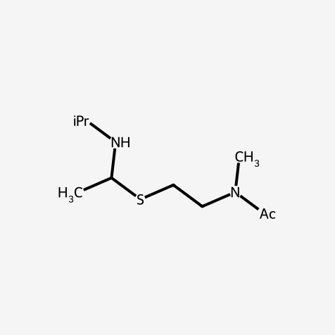 CC(=O)N(C)CCSC(C)NC(C)C